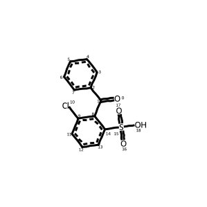 O=C(c1ccccc1)c1c(Cl)cccc1S(=O)(=O)O